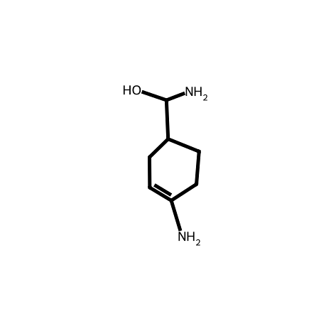 NC1=CCC(C(N)O)CC1